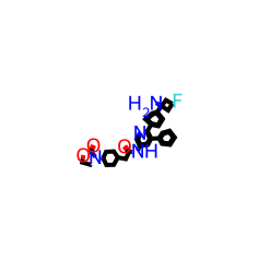 NC1(c2ccc(-c3ncc(NC(=O)CC4CCC(N5CCOC5=O)CC4)cc3-c3ccccc3)cc2)CC(F)C1